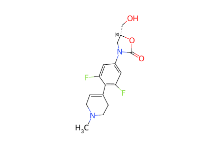 CN1CC=C(c2c(F)cc(N3C[C@H](CO)OC3=O)cc2F)CC1